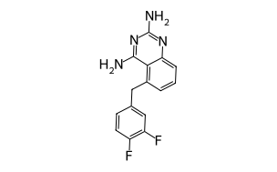 Nc1nc(N)c2c(Cc3ccc(F)c(F)c3)cccc2n1